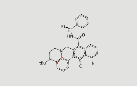 CC[C@H](NC(=O)c1c(CN2CCN(C(C)(C)C)CC2)n(-c2ccccc2)c(=O)c2c(F)cccc12)c1ccccc1